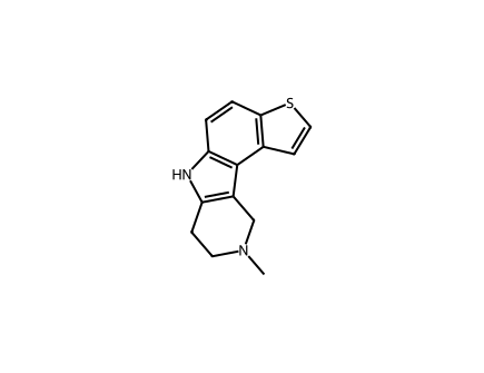 CN1CCc2[nH]c3ccc4sccc4c3c2C1